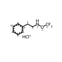 Cl.FC(F)(F)ONCCc1ccccc1